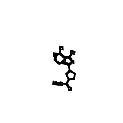 COC(=O)C1CCC(c2nc(Br)c3c(Cl)nccn23)C1